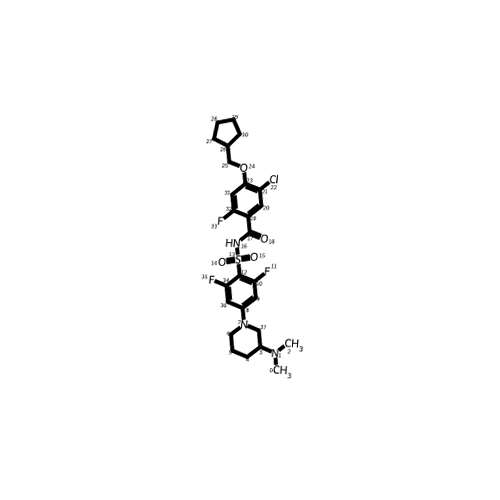 CN(C)C1CCCN(c2cc(F)c(S(=O)(=O)NC(=O)c3cc(Cl)c(OCC4CCCC4)cc3F)c(F)c2)C1